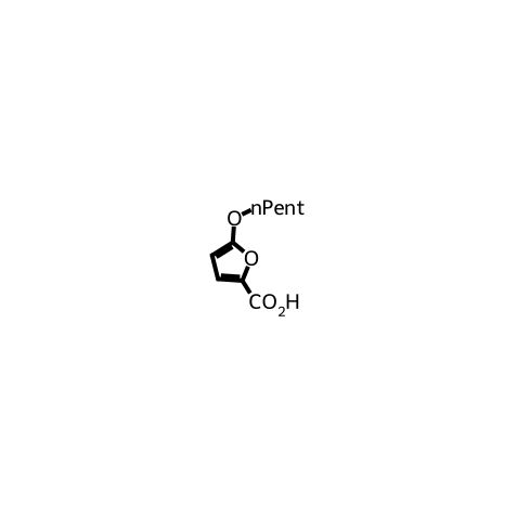 CCCCCOc1ccc(C(=O)O)o1